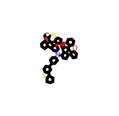 c1ccc2c(c1)Oc1ccccc1C21c2ccccc2-c2c(N(c3ccc(-c4ccc5sc6ccccc6c5c4)cc3)c3ccc4c(c3)-c3ccccc3C43c4ccccc4Sc4ccccc43)cccc21